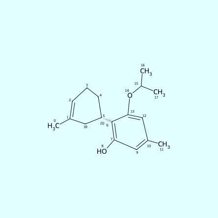 CC1=CCC[C@H](c2c(O)cc(C)cc2OC(C)C)C1